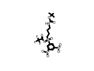 CC(C)(C)OC(=O)NCCCCS(=O)(=NC(=O)C(F)(F)F)c1cc([N+](=O)[O-])cc([N+](=O)[O-])c1